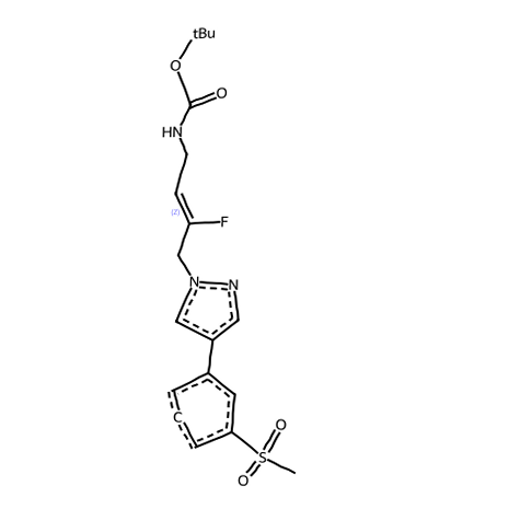 CC(C)(C)OC(=O)NC/C=C(\F)Cn1cc(-c2cccc(S(C)(=O)=O)c2)cn1